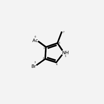 CC(=O)c1c(Br)c[nH]c1C